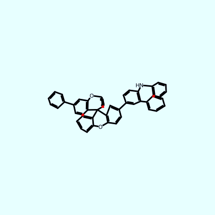 c1ccc(Nc2ccc(-c3ccc4c(c3)C3(c5ccccc5Oc5cc(-c6ccccc6)ccc53)c3ccccc3O4)cc2-c2ccccc2)cc1